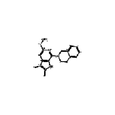 Cc1[nH]c2c(N3CCc4ccccc4C3)nc(SN)cc2c1C